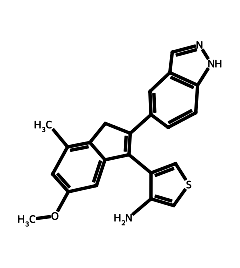 COc1cc(C)c2c(c1)C(c1cscc1N)=C(c1ccc3[nH]ncc3c1)C2